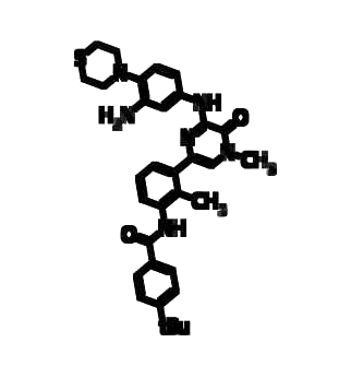 Cc1c(NC(=O)c2ccc(C(C)(C)C)cc2)cccc1-c1cn(C)c(=O)c(Nc2ccc(N3CCSCC3)c(N)c2)n1